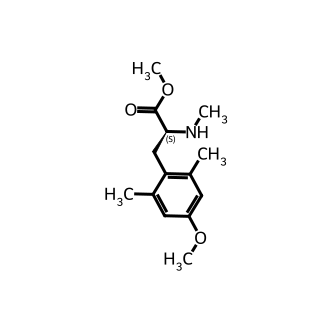 CN[C@@H](Cc1c(C)cc(OC)cc1C)C(=O)OC